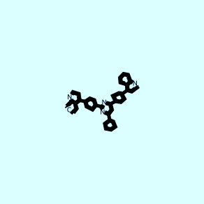 c1ccc(-c2cc(-c3ccc(-c4ccnc5ccccc45)cc3)nc(-c3ccc(-c4ccnc5ccccc45)cc3)n2)cc1